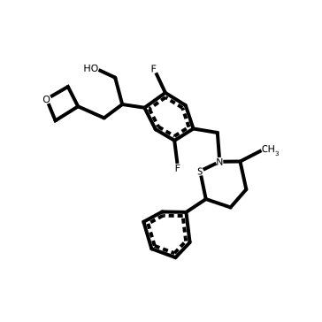 CC1CCC(c2ccccc2)SN1Cc1cc(F)c(C(CO)CC2COC2)cc1F